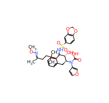 CON=C(C)CCC(C)(C)CC(NS(=O)(=O)c1ccc2c(c1)OCO2)[C@H](O)[C@H](Cc1ccccc1)N(C(=O)O)c1ccoc1